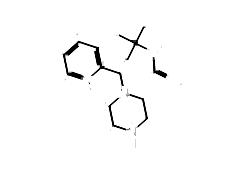 CC(C)(C)OC=O.c1ccc(CN2CCNCC2)nc1